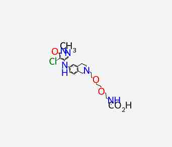 Cn1ncc(Nc2ccc3c(c2)CCN(CCOCCOCCNC(=O)O)C3)c(Cl)c1=O